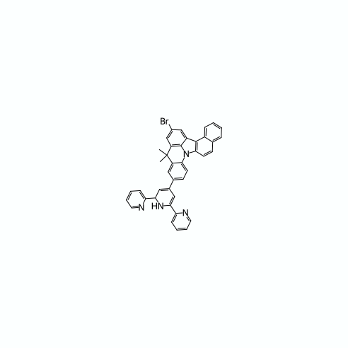 CC1(C)c2cc(C3=CC(c4ccccn4)NC(c4ccccn4)=C3)ccc2-n2c3ccc4ccccc4c3c3cc(Br)cc1c32